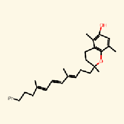 CC(/C=C/C=C(\C)CCCC(C)C)=C\CCC1(C)CCc2c(C)c(O)cc(C)c2O1